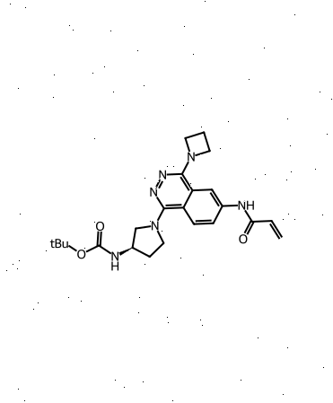 C=CC(=O)Nc1ccc2c(N3CC[C@@H](NC(=O)OC(C)(C)C)C3)nnc(N3CCC3)c2c1